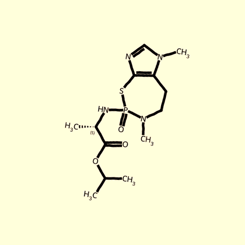 CC(C)OC(=O)[C@H](C)NP1(=O)Sc2ncn(C)c2CCN1C